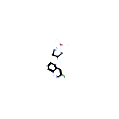 O=C(O)N1CC[C@@H](Nc2cccc3ncc(Cl)cc23)C1